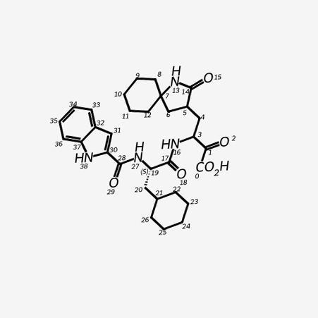 O=C(O)C(=O)C(CC1CC2(CCCCC2)NC1=O)NC(=O)[C@H](CC1CCCCC1)NC(=O)c1cc2ccccc2[nH]1